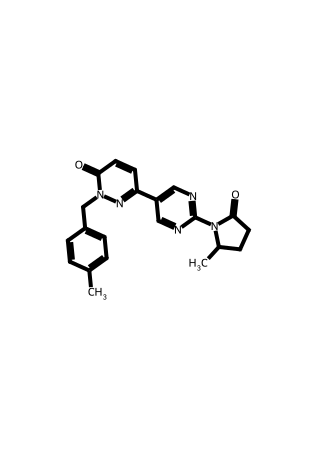 Cc1ccc(Cn2nc(-c3cnc(N4C(=O)CCC4C)nc3)ccc2=O)cc1